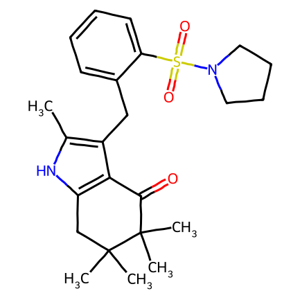 Cc1[nH]c2c(c1Cc1ccccc1S(=O)(=O)N1CCCC1)C(=O)C(C)(C)C(C)(C)C2